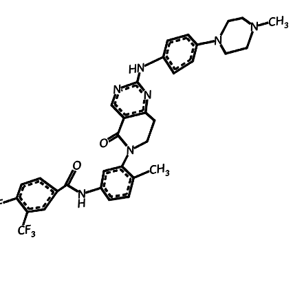 Cc1ccc(NC(=O)c2ccc(F)c(C(F)(F)F)c2)cc1N1CCc2nc(Nc3ccc(N4CCN(C)CC4)cc3)ncc2C1=O